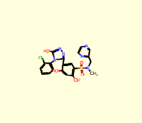 CN(Cc1cnccn1)S(=O)(=O)c1cc(-c2nnc(O)n2-c2ccccc2Cl)c(O)cc1O